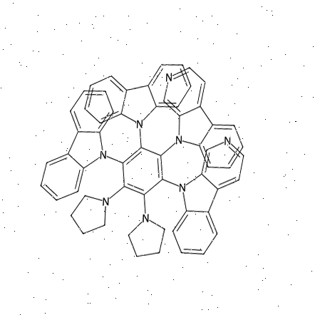 c1ccc2c(c1)c1ccccc1n2-c1c(N2CCCC2)c(N2CCCC2)c(-n2c3ccccc3c3ccncc32)c(-n2c3ccccc3c3ccncc32)c1-n1c2ccccc2c2ccccc21